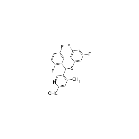 Cc1cc(C=O)ncc1C(Sc1cc(F)cc(F)c1)c1cc(F)ccc1F